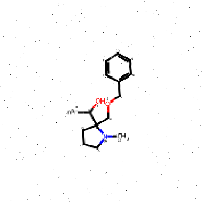 CCCC(O)C1(COCc2ccccc2)CCCN1C